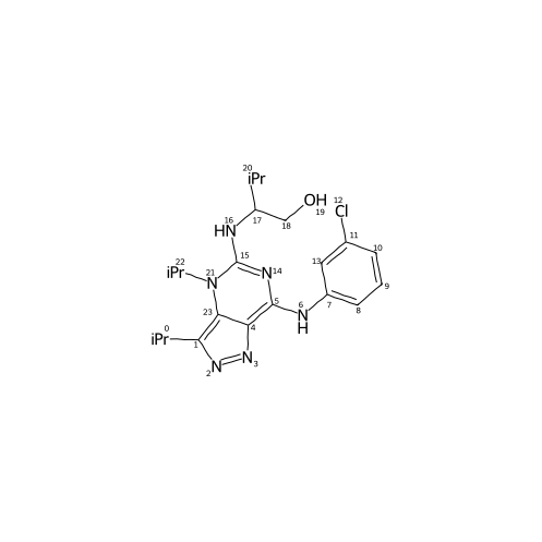 CC(C)c1nnc2c(Nc3cccc(Cl)c3)nc(NC(CO)C(C)C)n(C(C)C)c1-2